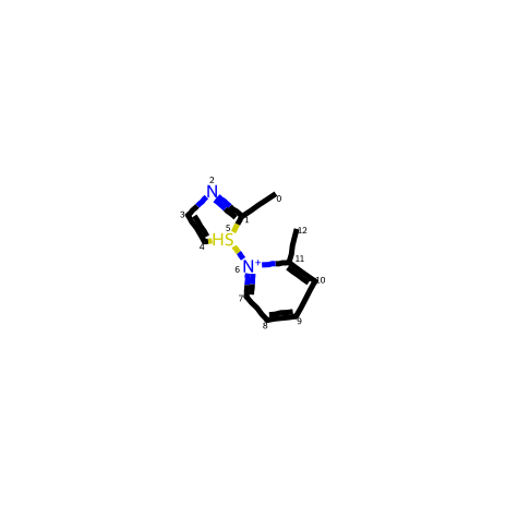 CC1=NC=C[SH]1[n+]1ccccc1C